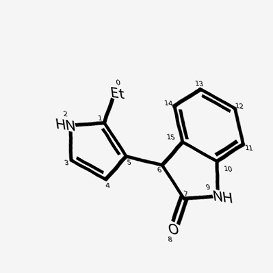 CCc1[nH]ccc1C1C(=O)Nc2ccccc21